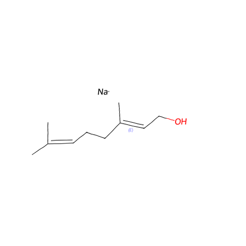 CC(C)=CCC/C(C)=C/CO.[Na]